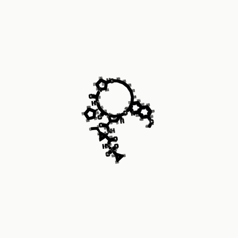 CC[C@@H]1C[C@]1(NC(=O)[C@@H]1C[C@@H]2CN1C(=O)[C@H](C1CCCC1)NC(=O)N1CC[C@@H](C1)OCCCCCc1cc3ccc(OC)cc3nc1O2)C(=O)NS(=O)(=O)C1CC1